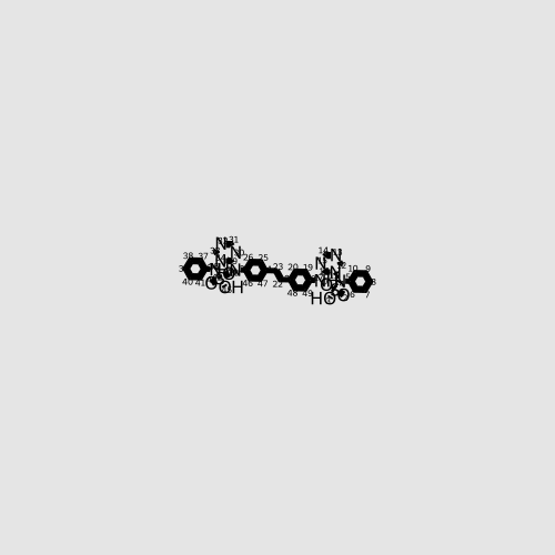 O=S(=O)(O)N(c1ccccc1)N1CN=CN=C1Nc1ccc(C=Cc2ccc(NC3=NC=NCN3N(c3ccccc3)S(=O)(=O)O)cc2)cc1